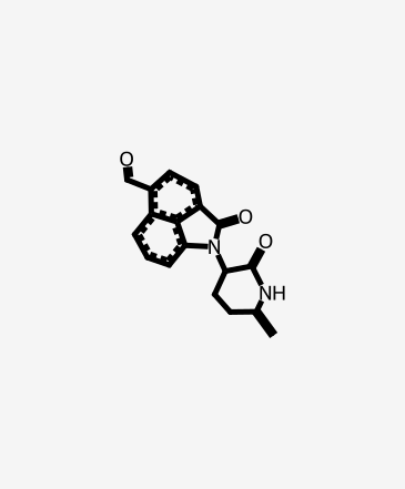 C=C1CCC(N2C(=O)c3ccc(C=O)c4cccc2c34)C(=O)N1